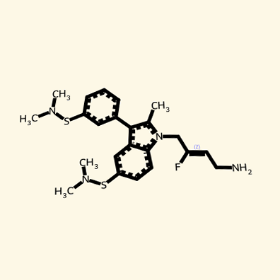 Cc1c(-c2cccc(SN(C)C)c2)c2cc(SN(C)C)ccc2n1C/C(F)=C/CN